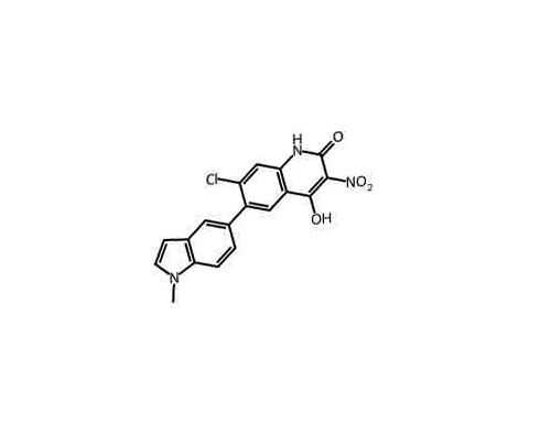 Cn1ccc2cc(-c3cc4c(O)c([N+](=O)[O-])c(=O)[nH]c4cc3Cl)ccc21